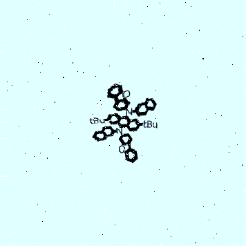 CC(C)(C)c1ccc2c(N(c3ccc4ccccc4c3)c3ccc4c(c3)oc3ccccc34)c3cc(C(C)(C)C)ccc3c(N(c3ccc4ccccc4c3)c3ccc4c(c3)oc3ccccc34)c2c1